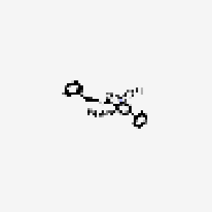 CNC1=C(C(=N)SCCc2ccccc2)/C(=N/O)C[C@@H](c2ccccc2)C1